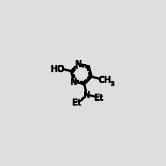 CCN(CC)c1nc(O)ncc1C